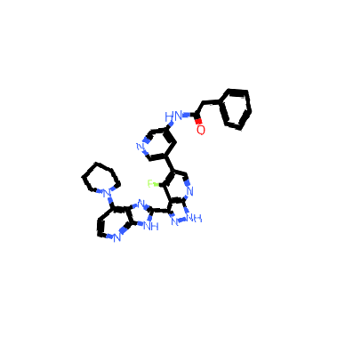 O=C(Cc1ccccc1)Nc1cncc(-c2cnc3[nH]nc(-c4nc5c(N6CCCCC6)ccnc5[nH]4)c3c2F)c1